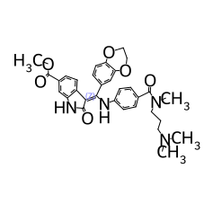 COC(=O)c1ccc2c(c1)NC(=O)/C2=C(\Nc1ccc(C(=O)N(C)CCCN(C)C)cc1)c1ccc2c(c1)OCCO2